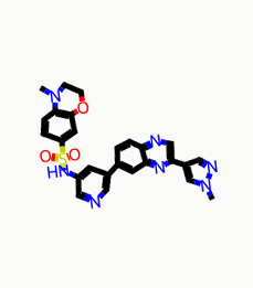 CN1CCOc2cc(S(=O)(=O)Nc3cncc(-c4ccc5ncc(-c6cnn(C)c6)nc5c4)c3)ccc21